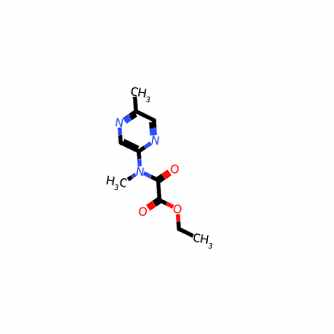 CCOC(=O)C(=O)N(C)c1cnc(C)cn1